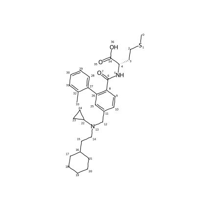 CSCC[C@H](NC(=O)c1ccc(CN(CCC2CCCCC2)C2CC2)cc1-c1ccccc1C)C(=O)O